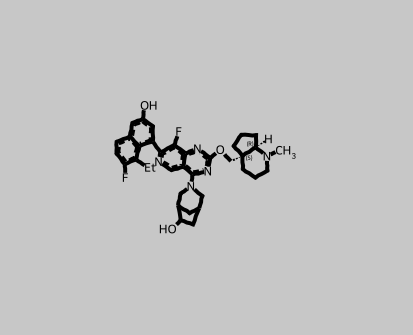 CCc1c(F)ccc2cc(O)cc(-c3ncc4c(N5CC6CC(O)C(C6)C5)nc(OC[C@]56CCC[C@H]5N(C)CCC6)nc4c3F)c12